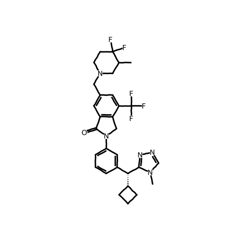 CC1CN(Cc2cc3c(c(C(F)(F)F)c2)CN(c2cccc([C@H](c4nncn4C)C4CCC4)c2)C3=O)CCC1(F)F